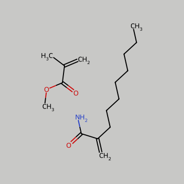 C=C(C)C(=O)OC.C=C(CCCCCCCC)C(N)=O